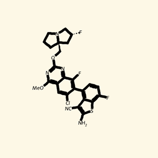 COc1nc(OC[C@@]23CCCN2C[C@H](F)C3)nc2c(F)c(-c3ccc(F)c4sc(N)c(C#N)c34)c(Cl)cc12